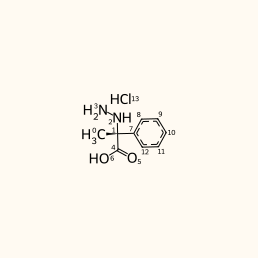 C[C@](NN)(C(=O)O)c1ccccc1.Cl